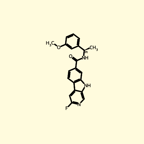 COc1cccc([C@@H](C)NC(=O)c2ccc3c(c2)[nH]c2cnc(F)cc23)c1